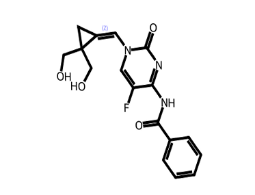 O=C(Nc1nc(=O)n(/C=C2/CC2(CO)CO)cc1F)c1ccccc1